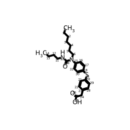 CCCCCCCN(C(=O)NCCCC)c1ccc(Sc2ccc(CC(=O)O)cc2)cc1